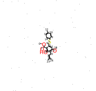 COC(=O)c1c(CSc2ccc(C)cc2)cc(OC)c(CC=C(C)C)c1O